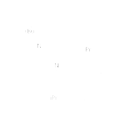 CC(C)c1cccc(C(C)C)c1-n1cc[n+](C(C)(C)C)c1